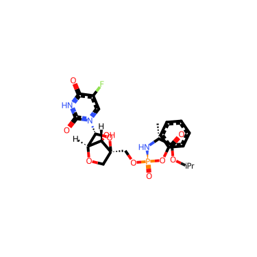 CC(C)OC(=O)[C@@H](C)N[P@@](=O)(OC[C@@]12CO[C@@H]([C@H](n3cc(F)c(=O)[nH]c3=O)O1)[C@@H]2O)Oc1ccccc1